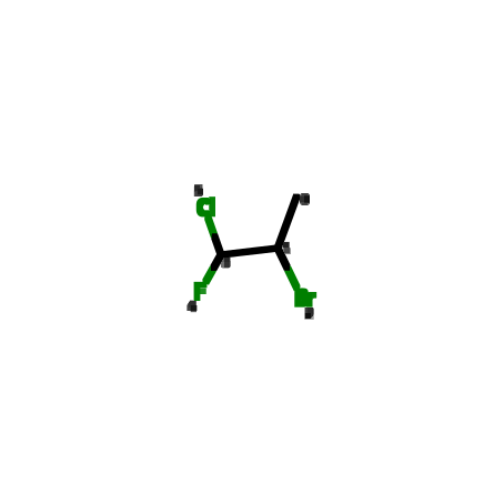 CC(Br)C(F)Cl